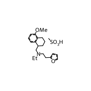 CCN(CCc1ccco1)CC1CCCc2c(OC)cccc21.CS(=O)(=O)O